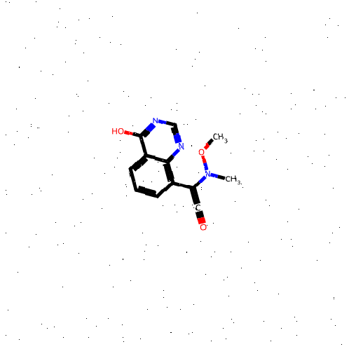 CON(C)C(=C=O)c1cccc2c(O)ncnc12